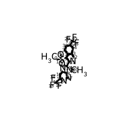 CCS(=O)(=O)c1c(-c2nc3cc(C(F)(F)F)nnc3n2C)ncc2cc(C(F)(F)F)ccc12